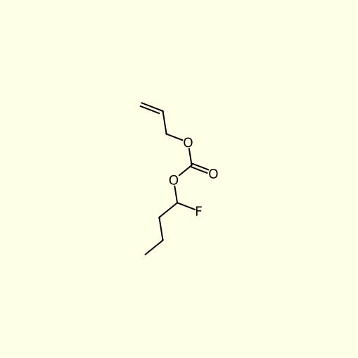 C=CCOC(=O)OC(F)CCC